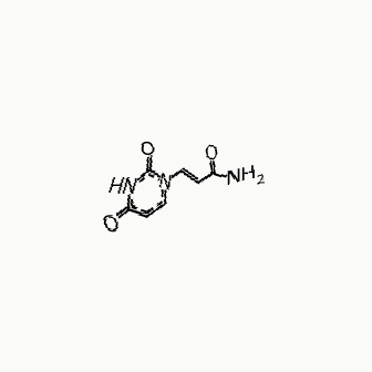 NC(=O)C=Cn1ccc(=O)[nH]c1=O